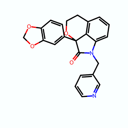 O=C1N(Cc2cccnc2)c2cccc3c2C1(c1ccc2c(c1)OCO2)OCC3